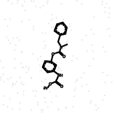 CC(C)OC(=O)Nc1cccc(OC(=O)N(C)Cc2ccccc2)c1